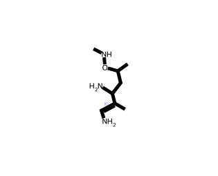 CNOC(C)CC(N)/C(C)=C/N